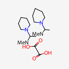 CNC(C)N1CCCCC1.CNC(C)N1CCCCC1.O=C(O)C(=O)O